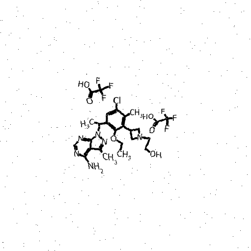 CCOc1c(C(C)n2nc(C)c3c(N)ncnc32)cc(Cl)c(C)c1C1CN(CCO)C1.O=C(O)C(F)(F)F.O=C(O)C(F)(F)F